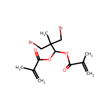 C=C(C)C(=O)OC(OC(=O)C(=C)C)C(C)(CBr)CBr